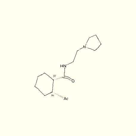 CC(=O)[C@@H]1CCCC[C@@H]1C(=O)NCCN1CCCC1